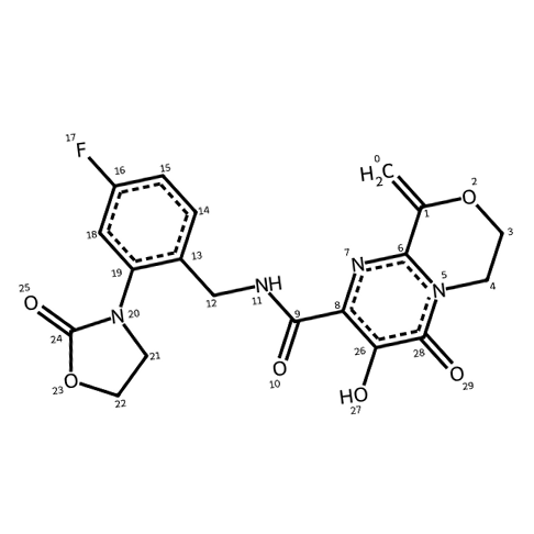 C=C1OCCn2c1nc(C(=O)NCc1ccc(F)cc1N1CCOC1=O)c(O)c2=O